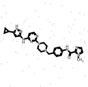 Cn1ccnc1C(=O)Nc1ccc(CN2CCN(c3nccc(Nc4cc(C5CC5)[nH]n4)n3)CC2)cc1